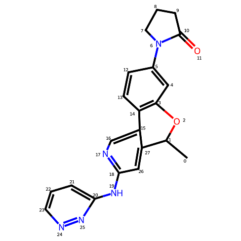 CC1Oc2cc(N3CCCC3=O)ccc2-c2cnc(Nc3cccnn3)cc21